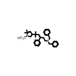 CC(C)(CC(CCN(Cc1ccccc1)Cc1ccccc1)c1ccccc1)C1CN(C(=O)O)C(C)(C)C1